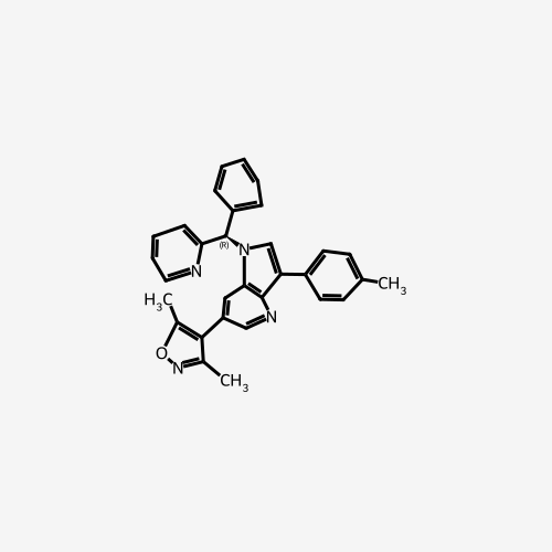 Cc1ccc(-c2cn([C@H](c3ccccc3)c3ccccn3)c3cc(-c4c(C)noc4C)cnc23)cc1